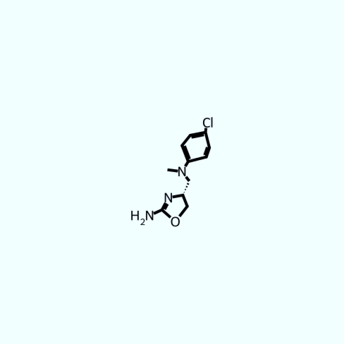 CN(C[C@@H]1COC(N)=N1)c1ccc(Cl)cc1